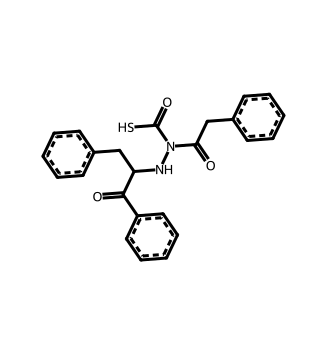 O=C(c1ccccc1)C(Cc1ccccc1)NN(C(=O)S)C(=O)Cc1ccccc1